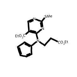 CCOC(=O)CCN(c1ccccc1)c1nc(SC)ncc1C(=O)OCC